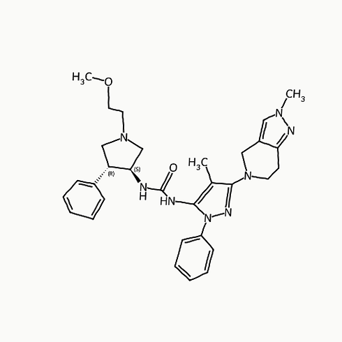 COCCN1C[C@@H](NC(=O)Nc2c(C)c(N3CCc4nn(C)cc4C3)nn2-c2ccccc2)[C@H](c2ccccc2)C1